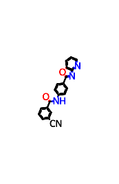 N#Cc1cccc(C(=O)Nc2ccc(-c3nc4ncccc4o3)cc2)c1